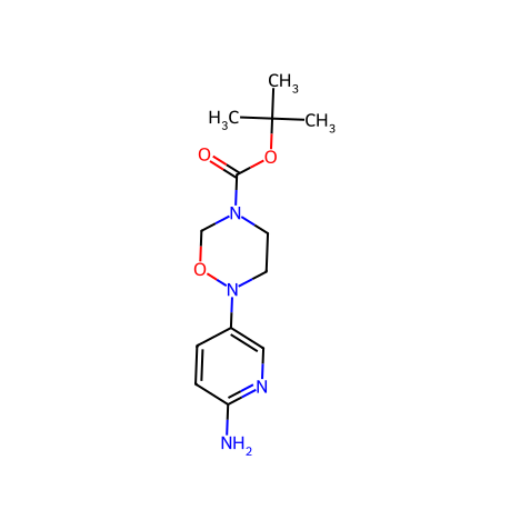 CC(C)(C)OC(=O)N1CCN(c2ccc(N)nc2)OC1